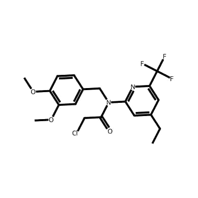 CCc1cc(N(Cc2ccc(OC)c(OC)c2)C(=O)CCl)nc(C(F)(F)F)c1